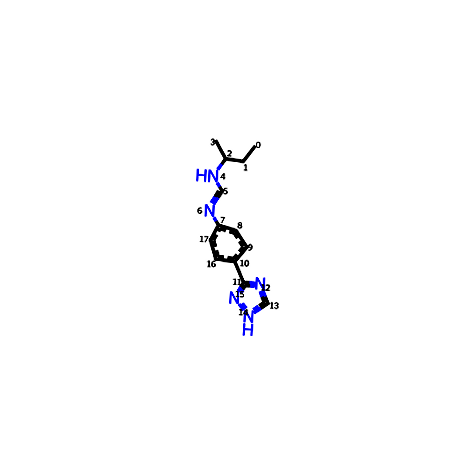 CCC(C)NC=Nc1ccc(-c2nc[nH]n2)cc1